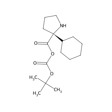 CC(C)(C)OC(=O)OC(=O)[C@]1(C2CCCCC2)CCCN1